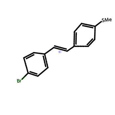 CSc1ccc(/C=C/c2ccc(Br)cc2)cc1